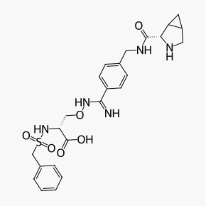 N=C(NOC[C@@H](NS(=O)(=O)Cc1ccccc1)C(=O)O)c1ccc(CNC(=O)[C@H]2NCC3CC32)cc1